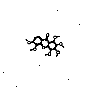 COc1ccc2c(=O)c3c(OC)c(OC)c(OC)c(OC)c3oc2c1OC